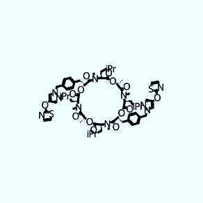 CC(C)C[C@H]1C(=O)O[C@H](Cc2ccc(Cn3cc(Oc4nccs4)cn3)cc2)C(=O)N(C)[C@@H](CC(C)C)C(=O)O[C@H](C)C(=O)N(C)[C@@H](CC(C)C)C(=O)O[C@H](Cc2ccc(Cn3cc(Oc4nccs4)cn3)cc2)C(=O)N(C)[C@@H](CC(C)C)C(=O)O[C@H](C)C(=O)N1C